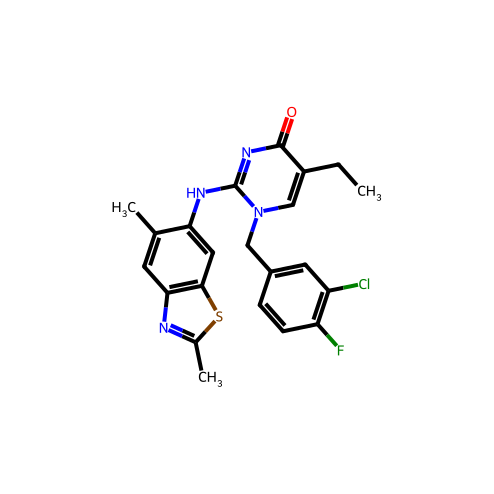 CCc1cn(Cc2ccc(F)c(Cl)c2)c(Nc2cc3sc(C)nc3cc2C)nc1=O